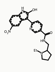 CCN1CCCC1CNC(=O)c1ccc(-c2c(O)[nH]c3ccc([N+](=O)[O-])cc23)nc1